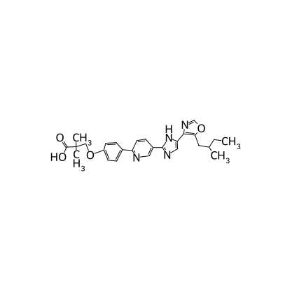 CCC(C)Cc1ocnc1-c1cnc(-c2ccc(-c3ccc(OCC(C)(C)C(=O)O)cc3)nc2)[nH]1